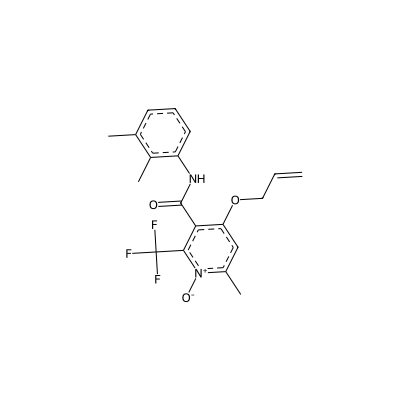 C=CCOc1cc(C)[n+]([O-])c(C(F)(F)F)c1C(=O)Nc1cccc(C)c1C